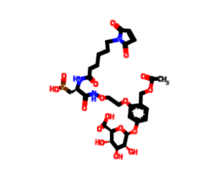 CC(=O)OCc1ccc(O[C@@H]2O[C@H](C(=O)O)[C@@H](O)[C@H](O)[C@H]2O)cc1OCCONC(=O)[C@H](CS(=O)O)NC(=O)CCCCCN1C(=O)C=CC1=O